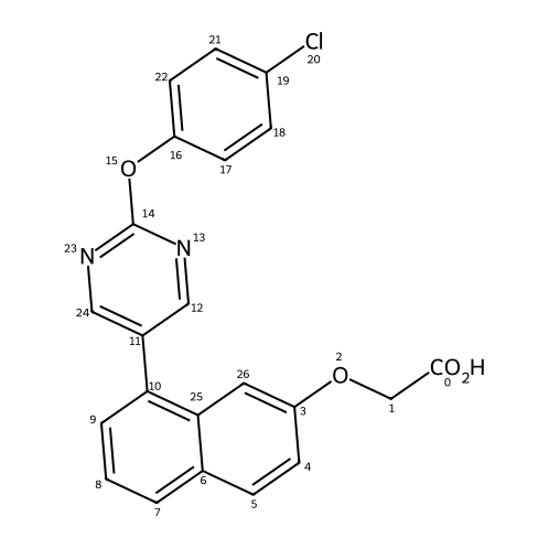 O=C(O)COc1ccc2cccc(-c3cnc(Oc4ccc(Cl)cc4)nc3)c2c1